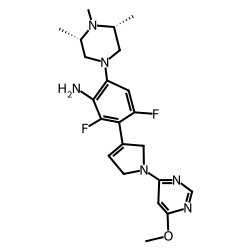 COc1cc(N2CC=C(c3c(F)cc(N4C[C@@H](C)N(C)[C@@H](C)C4)c(N)c3F)C2)ncn1